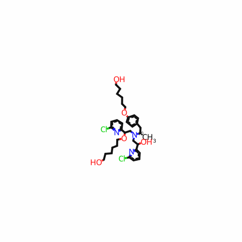 C[C@H](Cc1ccc(OCCCCCCO)cc1)N(CC(O)c1cccc(Cl)n1)CC(OCCCCCCO)c1cccc(Cl)n1